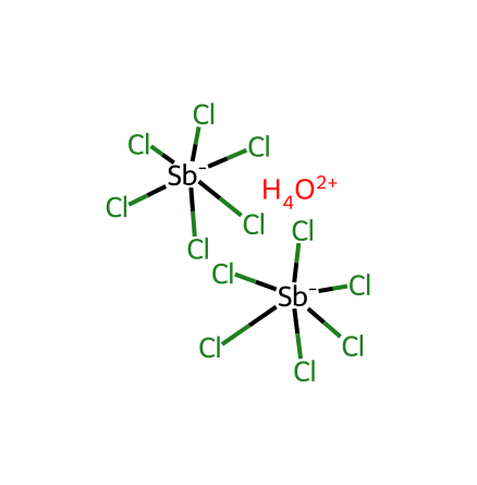 [Cl][Sb-]([Cl])([Cl])([Cl])([Cl])[Cl].[Cl][Sb-]([Cl])([Cl])([Cl])([Cl])[Cl].[OH4+2]